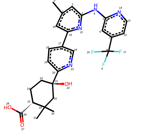 Cc1cc(Nc2cc(C(F)(F)F)ccn2)nc(-c2ccc([C@@]3(O)CC[C@@H](C(=O)O)C(C)(C)C3)nc2)c1